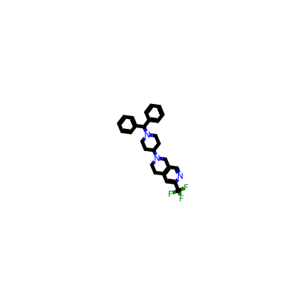 FC(F)(F)c1cc2c(cn1)CN(C1CCN(C(c3ccccc3)c3ccccc3)CC1)CC2